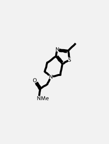 CNC(=O)CN1CCc2nc(C)sc2C1